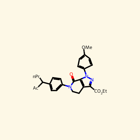 CCCC(C(C)=O)c1ccc(N2CCc3c(C(=O)OCC)nn(-c4ccc(OC)cc4)c3C2=O)cc1